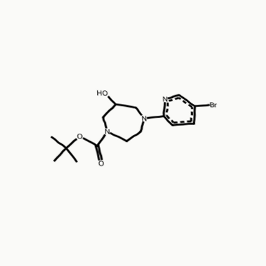 CC(C)(C)OC(=O)N1CCN(c2ccc(Br)cn2)CC(O)C1